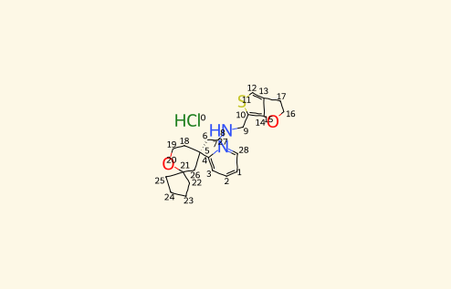 Cl.c1ccc([C@]2(CCNCc3scc4c3OCC4)CCOC3(CCCC3)C2)nc1